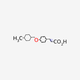 CC1CCC(COc2ccc(/C=C/C(=O)O)cc2)CC1